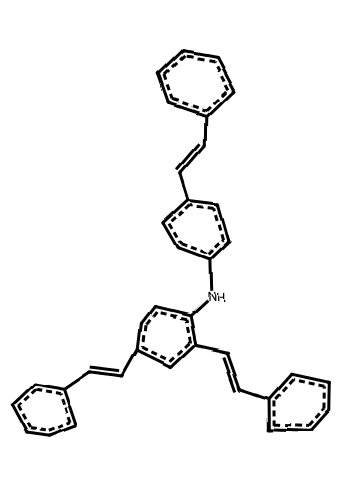 C(=Cc1ccc(Nc2ccc(C=Cc3ccccc3)cc2C=Cc2ccccc2)cc1)c1ccccc1